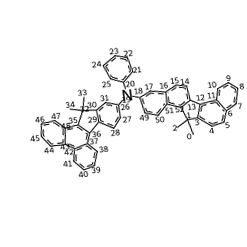 CC1(C)c2ccc3ccccc3c2-c2ccc3cc(N(c4ccccc4)c4ccc5c(c4)C(C)(C)c4c-5c5ccccc5c5ccccc45)ccc3c21